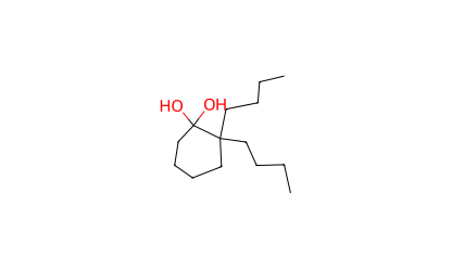 CCCCC1(CCCC)CCCCC1(O)O